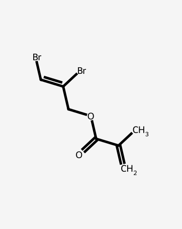 C=C(C)C(=O)OCC(Br)=CBr